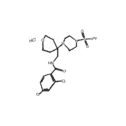 CCCS(=O)(=O)N1CCN(C2(CNC(=O)c3ccc(Cl)cc3Cl)CCOCC2)CC1.Cl